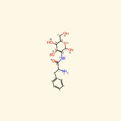 NC(Cc1ccccc1)C(=O)NC1C(O)OC(CO)C(O)C1O